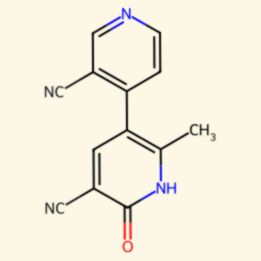 Cc1[nH]c(=O)c(C#N)cc1-c1ccncc1C#N